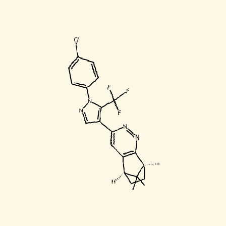 CC1(C)[C@H]2CC[C@]1(C)c1nnc(-c3cnn(-c4ccc(Cl)cc4)c3C(F)(F)F)cc12